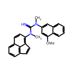 COc1cc(N(C)C(=N)N(C)c2ccc3cccc4c3c2C=C4)cc2ccccc12